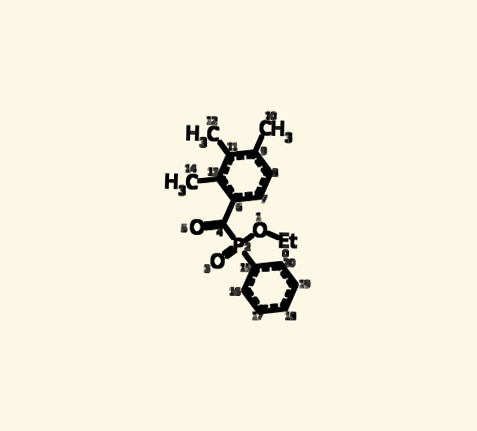 CCOP(=O)(C(=O)c1ccc(C)c(C)c1C)c1ccccc1